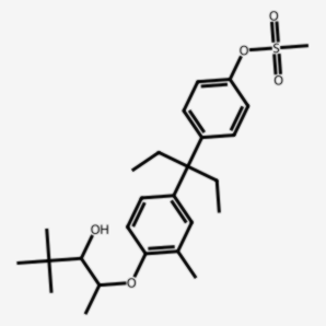 CCC(CC)(c1ccc(OS(C)(=O)=O)cc1)c1ccc(OC(C)C(O)C(C)(C)C)c(C)c1